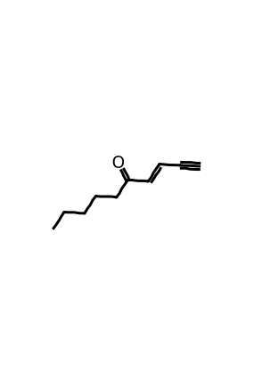 C#CC=CC(=O)CCCCC